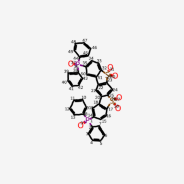 O=P(c1ccccc1)(c1ccccc1)c1ccc2c(c1)-c1cc3c(cc1S2(=O)=O)S(=O)(=O)c1ccc(P(=O)(c2ccccc2)c2ccccc2)cc1-3